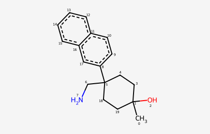 CC1(O)CCC(CN)(c2ccc3ccccc3c2)CC1